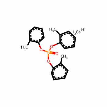 Cc1ccccc1OP(=O)(Oc1ccccc1C)Oc1ccccc1C.[CaH2].[H+]